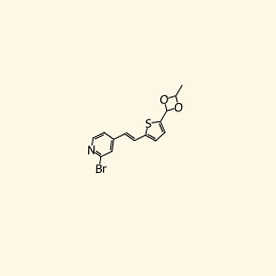 CC1OC(c2ccc(/C=C/c3ccnc(Br)c3)s2)O1